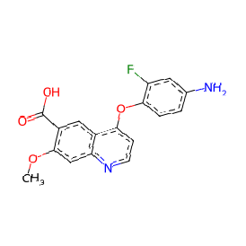 COc1cc2nccc(Oc3ccc(N)cc3F)c2cc1C(=O)O